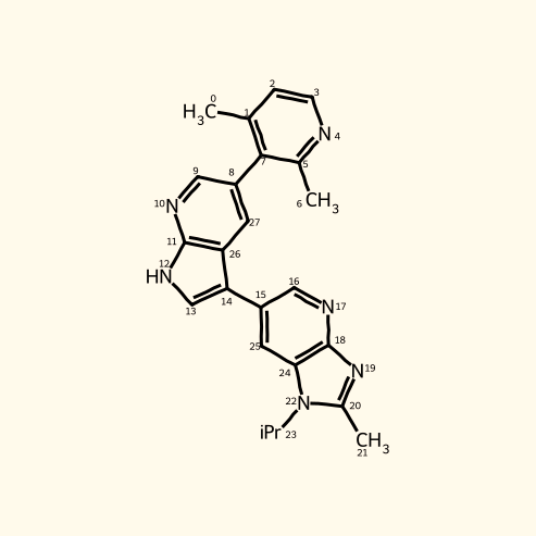 Cc1ccnc(C)c1-c1cnc2[nH]cc(-c3cnc4nc(C)n(C(C)C)c4c3)c2c1